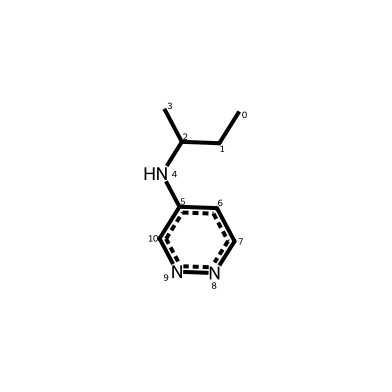 CCC(C)Nc1ccnnc1